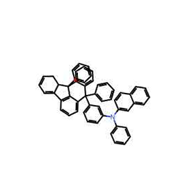 C1=CCC2C(=C1)c1cccc3c1C2(c1ccccc1)c1ccccc1C3(c1ccccc1)c1cccc(N(c2ccccc2)c2ccc3ccccc3c2)c1